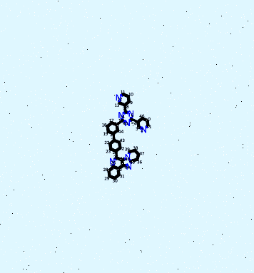 c1cncc(-c2nc(-c3cccnc3)nc(-c3cccc(-c4ccc(-c5nc6ccccc6c6nc7ccccn7c56)cc4)c3)n2)c1